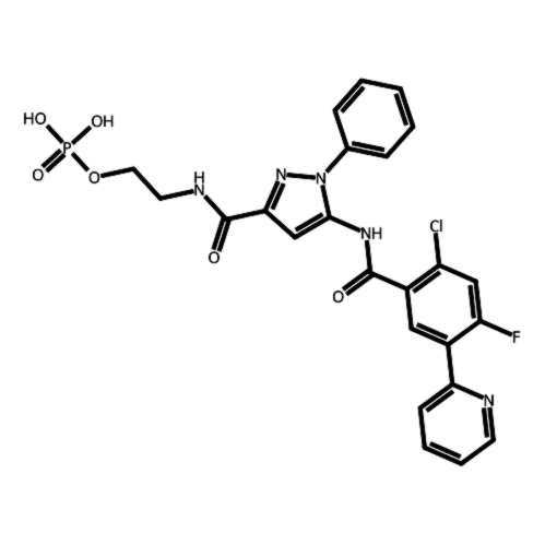 O=C(NCCOP(=O)(O)O)c1cc(NC(=O)c2cc(-c3ccccn3)c(F)cc2Cl)n(-c2ccccc2)n1